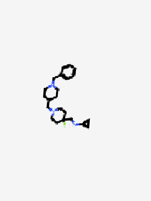 FC1(CNC2CC2)CCN(CC2CCN(Cc3ccccc3)CC2)CC1